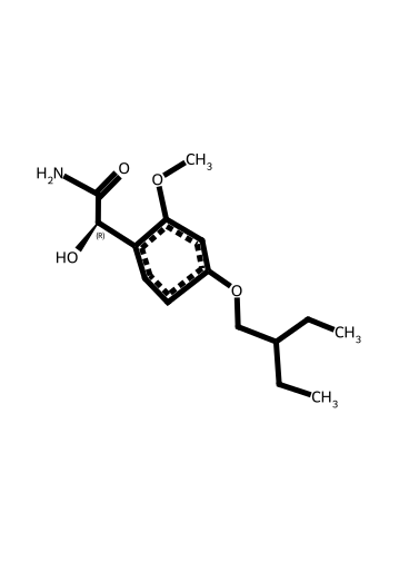 CCC(CC)COc1ccc([C@@H](O)C(N)=O)c(OC)c1